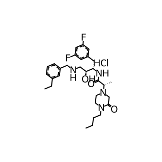 CCCCN1CCN([C@@H](C)C(=O)N[C@@H](Cc2cc(F)cc(F)c2)[C@@H](O)CNCc2cccc(CC)c2)CC1=O.Cl